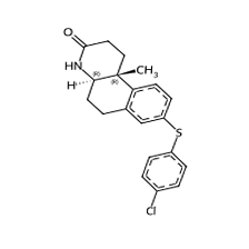 C[C@]12CCC(=O)N[C@@H]1CCc1cc(Sc3ccc(Cl)cc3)ccc12